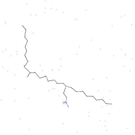 CCCCCCCCCC(C)CCCCCCCC(CCCCCCCCC)CCNC